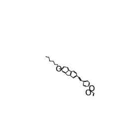 C=CC(=O)Oc1ccc(C#Cc2ccc3c(c2)Cc2cc(OCCCCCC)ccc2-3)cc1